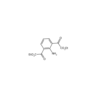 CCOC(=O)C(=O)c1cccc(C(=O)C(=O)OCC)c1N